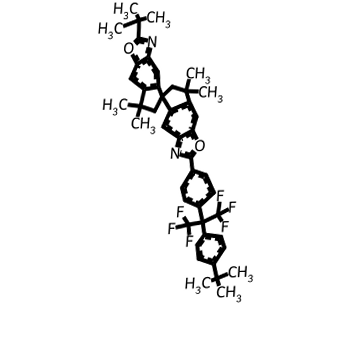 CC(C)(C)c1ccc(C(c2ccc(-c3nc4cc5c(cc4o3)C(C)(C)CC53CC(C)(C)c4cc5oc(C(C)(C)C)nc5cc43)cc2)(C(F)(F)F)C(F)(F)F)cc1